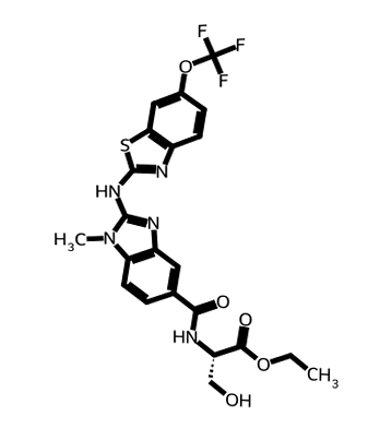 CCOC(=O)[C@H](CO)NC(=O)c1ccc2c(c1)nc(Nc1nc3ccc(OC(F)(F)F)cc3s1)n2C